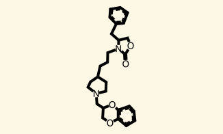 O=C1OCC(Cc2ccccc2)N1CCCC1CCN(CC2COc3ccccc3O2)CC1